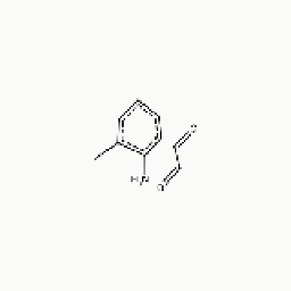 Cc1ccccc1N.O=CC=O